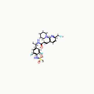 C[C@@H](NC(=O)/C=C/c1ccc(CF)nc1N1CCCCC1)c1cc(F)c(NS(C)(=O)=O)c(F)c1